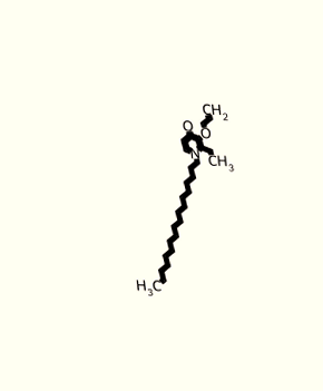 C=CCOc1c(CC)n(CCCCCCCCCCCCCCCCCC)ccc1=O